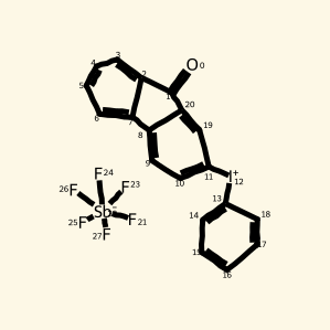 O=C1c2ccccc2-c2ccc([I+]c3ccccc3)cc21.[F][Sb-]([F])([F])([F])([F])[F]